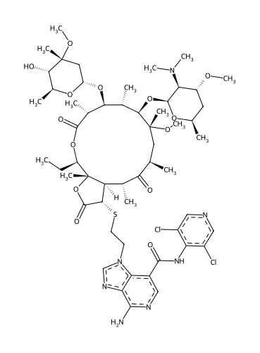 CC[C@H]1OC(=O)[C@H](C)[C@@H](O[C@H]2C[C@@](C)(OC)[C@@H](O)[C@H](C)O2)[C@H](C)[C@@H](O[C@@H]2O[C@H](C)C[C@@H](OC)[C@@H]2N(C)C)[C@](C)(OC)C[C@@H](C)C(=O)[C@H](C)[C@H]2[C@H](SCCn3cnc4c(N)ncc(C(=O)Nc5c(Cl)cncc5Cl)c43)C(=O)O[C@@]21C